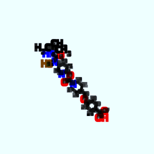 CC(C)(C)NC(=O)N(S)c1ccc(OC(=O)N2CCC(COc3ccc(C(=O)O)cc3)CC2)nc1